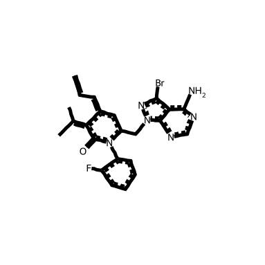 C=C/C=c1/cc(Cn2nc(Br)c3c(N)ncnc32)n(-c2ccccc2F)c(=O)c1=C(C)C